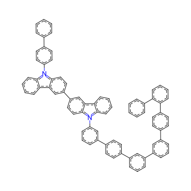 c1ccc(-c2ccc(-n3c4ccccc4c4cc(-c5ccc6c(c5)c5ccccc5n6-c5cccc(-c6ccc(-c7cccc(-c8cccc(-c9ccc(-c%10ccccc%10-c%10ccccc%10)cc9)c8)c7)cc6)c5)ccc43)cc2)cc1